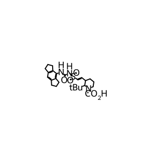 CC(C)(C)C1C(/C=C/S(=O)(=O)NC(=O)Nc2c3c(cc4c2CCC4)CCC3)CCCN1C(=O)O